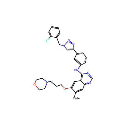 COc1cc2ncnc(Nc3cccc(-c4cn(Cc5ccccc5F)nn4)c3)c2cc1OCCCN1CCOCC1